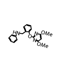 COc1cc(OC)nc(Oc2ccccc2CNc2ccccc2)n1